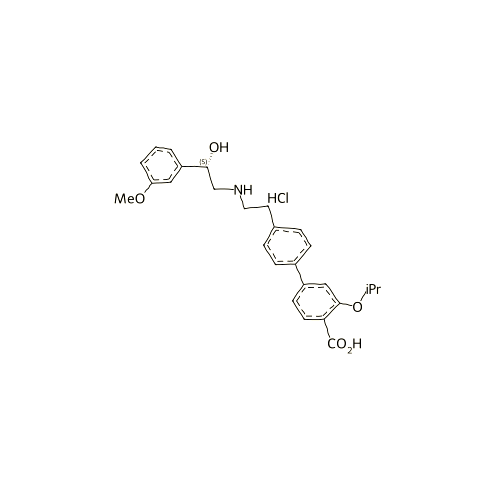 COc1cccc([C@H](O)CNCCc2ccc(-c3ccc(C(=O)O)c(OC(C)C)c3)cc2)c1.Cl